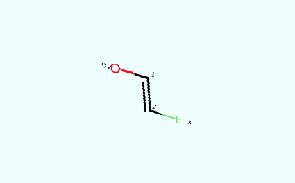 [O]/C=C/F